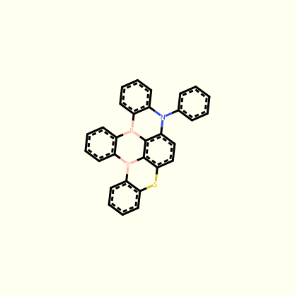 c1ccc(N2c3ccccc3B3c4ccccc4B4c5ccccc5Sc5ccc2c3c54)cc1